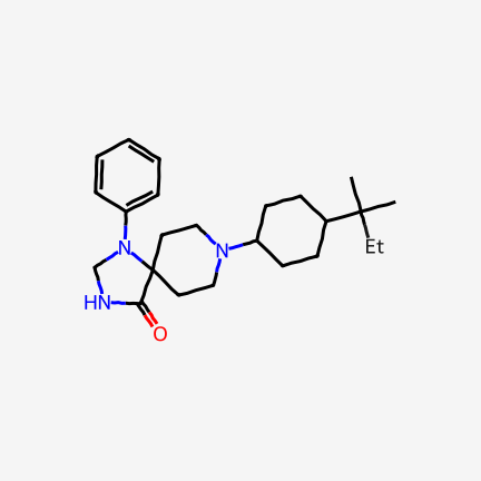 CCC(C)(C)C1CCC(N2CCC3(CC2)C(=O)NCN3c2ccccc2)CC1